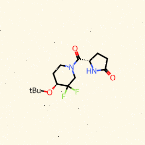 CC(C)(C)O[C@H]1CCN(C(=O)[C@@H]2CCC(=O)N2)CC1(F)F